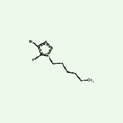 CCCCCCn1nnc(Br)c1F